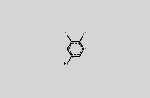 Fc1ccc(S)cc1I